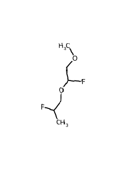 COCC(F)OCC(C)F